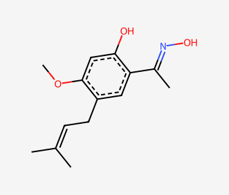 COc1cc(O)c(/C(C)=N/O)cc1CC=C(C)C